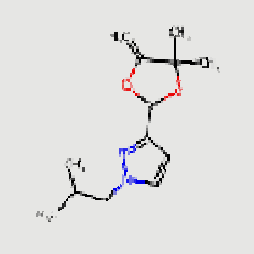 C=C1OB(c2ccn(CC(C)C)n2)OC1(C)C